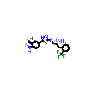 Cc1n[nH]c2ccc(-c3nnc(NCC(N)Cc4ccccc4C(F)(F)F)s3)cc12